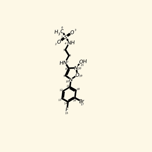 CS(=O)(=O)NCCNC1=CN(c2ccc(F)c(Br)c2)ON1O